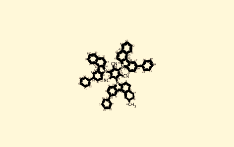 CC1C=c2c(ccc3c2c2cc(-c4ccccc4)ccc2n3-c2c(C#N)c(-n3c4ccc(-c5ccccc5)cc4c4c5ccccc5ccc43)c(C#N)c(-n3c4ccc(-c5ccccc5)cc4c4c5ccccc5ccc43)c2C#N)=CC1